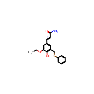 CCOc1cc(/C=C/C(N)=O)cc(CSc2ccccc2)c1O